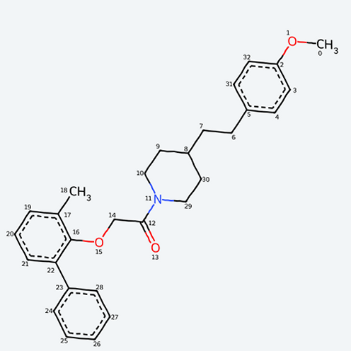 COc1ccc(CCC2CCN(C(=O)COc3c(C)cccc3-c3ccccc3)CC2)cc1